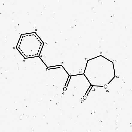 O=C(/C=C/c1ccccc1)C1CCCCOC1=O